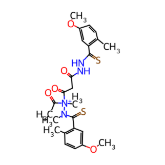 COc1ccc(C)c(C(=S)NNC(=O)CC(=O)[N+](C)(C(C)=O)N(C)C(=S)c2cc(OC)ccc2C)c1